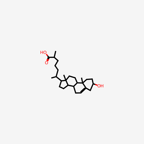 CC(CCCC(C)C1CCC2C3CC=C4CC(O)CCC4(C)C3CCC12C)C(=O)O